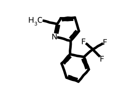 Cc1cccc(-c2ccccc2C(F)(F)F)n1